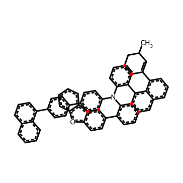 CC1C=C(c2cccc3cccc(-c4ccccc4N(c4ccc(-c5ccc(-c6cccc7ccccc67)cc5)cc4)c4ccccc4-c4ccc5oc6ccccc6c5c4)c23)C=CC1